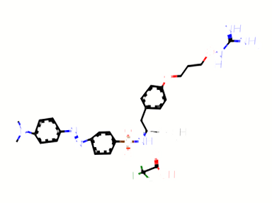 CN(C)c1ccc(N=Nc2ccc(S(=O)(=O)N[C@@H](Cc3ccc(OCCCONC(=N)N)cc3)C(=O)O)cc2)cc1.O=C(O)C(F)(F)F